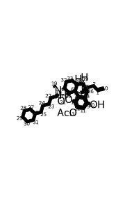 C=CCN1CC[C@]23c4c5c(O)cc(OC(C)=O)c4O[C@H]2[C@H](N(C)C(=O)CCCCC2CCCCC2)CC[C@H]3[C@H]1C5